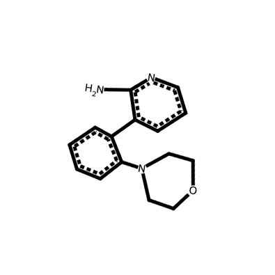 Nc1ncccc1-c1ccccc1N1CCOCC1